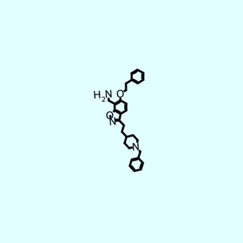 NCc1c(OCCc2ccccc2)ccc2c(CCC3CCN(Cc4ccccc4)CC3)noc12